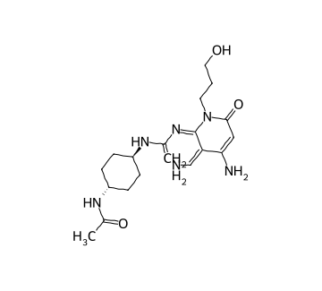 C=C(/N=C1\C(=C/N)C(N)=CC(=O)N1CCCO)N[C@H]1CC[C@H](NC(C)=O)CC1